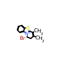 CC1=C(C)c2sc3ccccc3[n+]2CC1.[Br-]